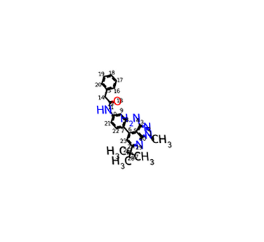 Cn1nc(N)c2c(-c3ccc(NC(=O)Cc4ccccc4)cc3)cc(C(C)(C)C)nc21